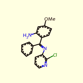 COc1ccc(C(=Nc2cccnc2Cl)c2ccccc2)c(N)c1